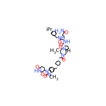 CC(C)c1ccc(CNC(=O)[C@H](CCC(N)=O)NC(=O)[C@@H]2CC[C@@H]3CCN(C(=O)C[C@H]4CC[C@@H](Cc5ccc6c(c5)n(C)c(=O)n6C5CCC(=O)NC5=O)CC4)C[C@H](C)C(=O)N32)cc1